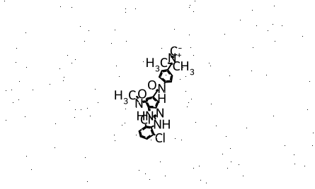 [C-]#[N+]C(C)(C)c1ccc(NC(=O)c2cc3nc(Nc4c(Cl)cccc4Cl)[nH]c3c3nc(C)oc23)cc1